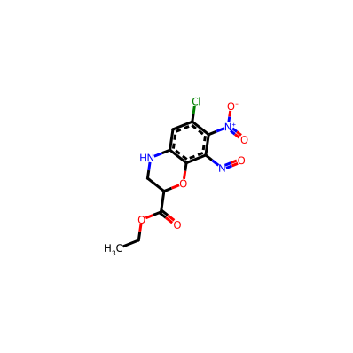 CCOC(=O)C1CNc2cc(Cl)c([N+](=O)[O-])c(N=O)c2O1